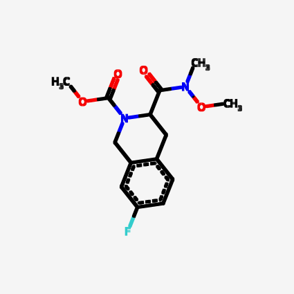 COC(=O)N1Cc2cc(F)ccc2CC1C(=O)N(C)OC